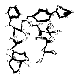 CC(C)OC(=O)NC(C(=O)NN(Cc1ccc(-c2ccccn2)cc1)C[C@H](O)[C@H](Cc1ccccc1)NC(=O)O[C@H]1CO[C@H]2OCC[C@H]21)C(C)(C)C